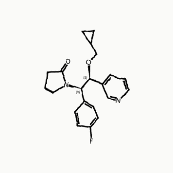 O=C1CCCN1[C@H](c1ccc(F)cc1)[C@@H](OCC1CC1)c1cccnc1